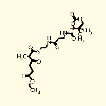 CCOC(=O)CCC(=O)C(C)C(=O)SCCNC(=O)CCNC(=O)[C@@H]1OC(=O)OCC1(C)C